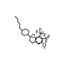 CCCCCC1CCC(C2CCc3cc(OC)c(C(F)(F)F)c(C(F)(F)F)c3O2)CC1